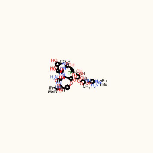 CCCCN(CCCC)/C(N)=N/c1ccc(CNC2(CC)C[C@H](OC3C(O)[C@H](O)C(CO)O[C@H]3Oc3c4cc5cc3Oc3ccc(cc3Cl)[C@@H](O)[C@@H]3NC(=O)[C@H](NC(=O)[C@@H]5NC(=O)[C@H](CC(N)=O)NC(=O)[C@H](NC(=O)[C@@H](CC(C)C)NC)[C@H](O)c5ccc(cc5)O4)c4ccc(O)c(c4)-c4c(O)cc(O)cc4[C@@H](C(=O)O)NC3=O)OC(C)[C@H]2O)cc1